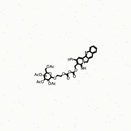 CCCc1cc2n(c(=N)c1COC(=O)OC(=O)OCCOC1OC(COC(C)=O)[C@@H](OC(C)=O)C(OC(C)=O)[C@H]1OC(C)=O)Cc1cc3ccccc3nc1-2